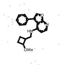 COC1CCC1CNc1ccnc2occ(-c3ccccc3)c12